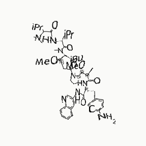 CC[C@H](C)C([C@@H](CC(=O)N1CCC[C@H]1[C@H](OC)[C@@H](C)C(=O)N[C@H](Cc1ccc(N)cc1)C(=O)Nc1cnc2ccccc2c1)OC)N(C)C(=O)C(NC(=O)C(C(C)C)N(C)C)C(C)C